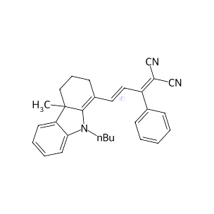 CCCCN1C2=C(/C=C/C(=C(C#N)C#N)c3ccccc3)CCCC2(C)c2ccccc21